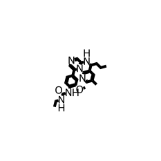 CCCC(Nc1cncc(-c2ccc(NC(=O)NCC)c(OC)c2)n1)c1cncc(C)c1